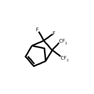 FC(F)(F)C1(C(F)(F)F)C2C=CC(C2)C1(F)F